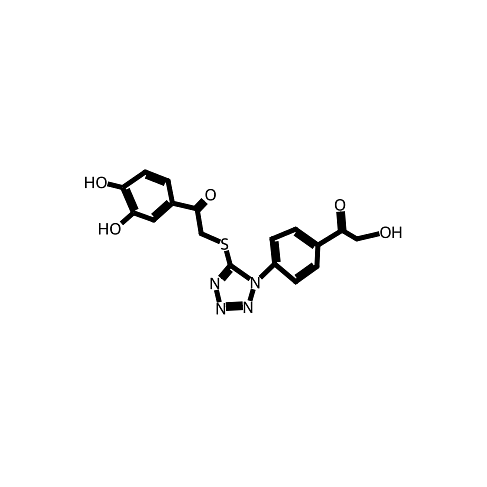 O=C(CO)c1ccc(-n2nnnc2SCC(=O)c2ccc(O)c(O)c2)cc1